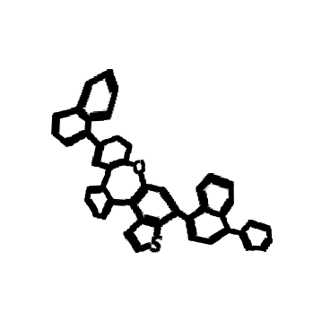 C1=C(c2cccc3ccccc23)CCC2=C1c1ccccc1-c1c(cc(-c3ccc(-c4ccccc4)c4ccccc34)c3sccc13)O2